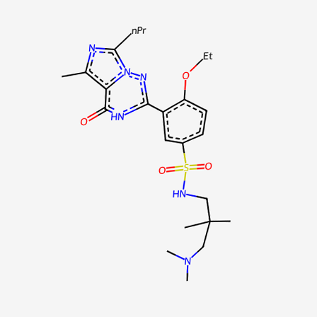 CCCc1nc(C)c2c(=O)[nH]c(-c3cc(S(=O)(=O)NCC(C)(C)CN(C)C)ccc3OCC)nn12